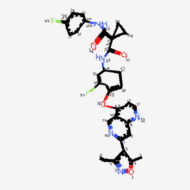 Cc1noc(C)c1-c1cc2nccc(OC3=CCC(NC(=O)C4(C(=O)Nc5ccc(F)cc5)CC4)C=C3F)c2cn1